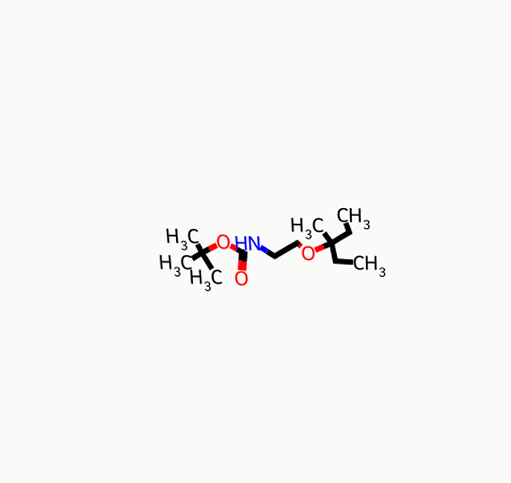 CCC(C)(CC)OCCNC(=O)OC(C)(C)C